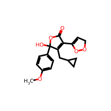 COc1ccc(C2(O)OC(=O)C(C3=CCOO3)=C2CC2CC2)cc1